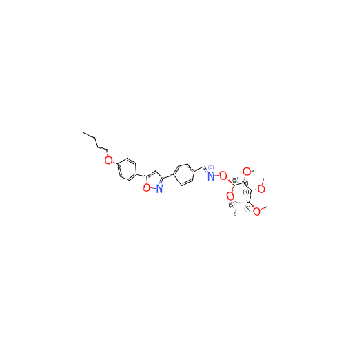 CCCCOc1ccc(-c2cc(-c3ccc(/C=N/O[C@@H]4O[C@@H](C)[C@H](OC)[C@@H](OC)[C@H]4OC)cc3)no2)cc1